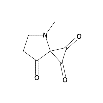 CN1CCC(=O)C12C(=O)C2=O